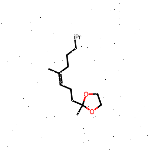 CC(=CCCC1(C)OCCO1)CCCC(C)C